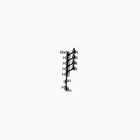 C=CCOC(=O)NCCCCCC(=O)N(CCNC(=O)CN(CCNC(=O)CN(CCNC(=O)CN(CCNC(=O)CCCCCNC(=O)CCCCCNC(=O)OC(C)(C)C)C(=O)CCCCCNC(=O)OCC=C)C(=O)CCCCCNC(=O)OCC=C)C(=O)CCCCCNC(=O)OCC=C)CC(=O)NC